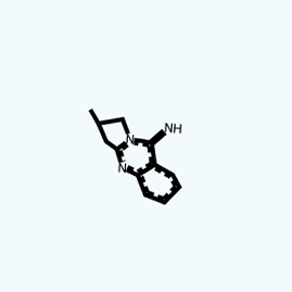 CC1Cc2nc3ccccc3c(=N)n2C1